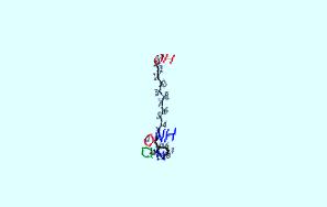 O=C(NCCCCCCCCCCCO)c1cccnc1Cl